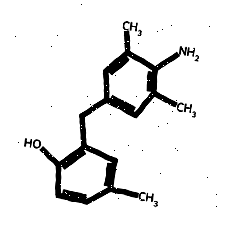 Cc1ccc(O)c(Cc2cc(C)c(N)c(C)c2)c1